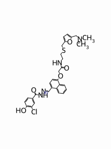 CN(C)Cc1ccc(CSCCNC(=O)COc2ccc(/C=N/NC(=O)c3ccc(O)c(Cl)c3)c3ccccc23)o1